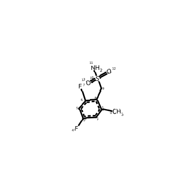 Cc1cc(F)cc(F)c1CS(N)(=O)=O